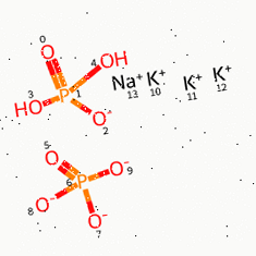 O=P([O-])(O)O.O=P([O-])([O-])[O-].[K+].[K+].[K+].[Na+]